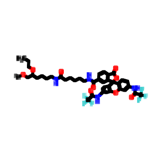 [2H]OCC(CCCCNC(=O)CCCCCNC(=O)c1ccc2c(c1)C1(OC2=O)c2ccc(NC(=O)C(F)(F)F)cc2Oc2cc(NC(=O)C(F)(F)F)ccc21)OCCC